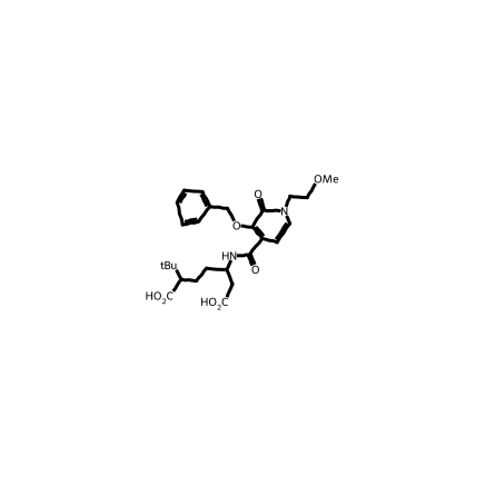 COCCn1ccc(C(=O)NC(CCC(C(=O)O)C(C)(C)C)CC(=O)O)c(OCc2ccccc2)c1=O